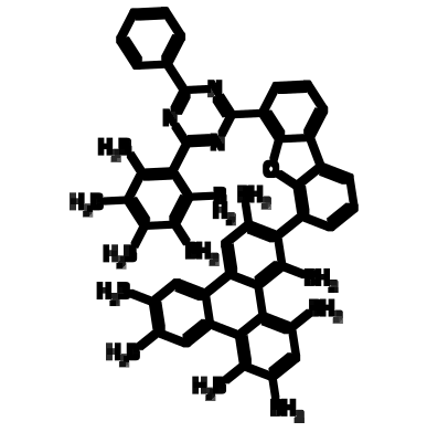 Bc1cc2c(cc1B)c1c(B)c(B)cc(B)c1c1c(B)c(-c3cccc4c3oc3c(-c5nc(-c6ccccc6)nc(-c6c(B)c(B)c(B)c(B)c6B)n5)cccc34)c(B)cc21